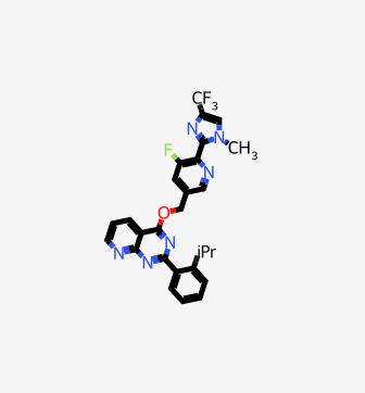 CC(C)c1ccccc1-c1nc(OCc2cnc(-c3nc(C(F)(F)F)cn3C)c(F)c2)c2cccnc2n1